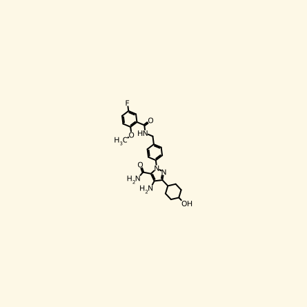 COc1ccc(F)cc1C(=O)NCc1ccc(-n2nc(C3CCC(O)CC3)c(N)c2C(N)=O)cc1